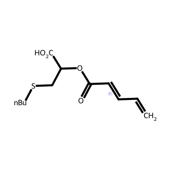 C=C/C=C/C(=O)OC(CSCCCC)C(=O)O